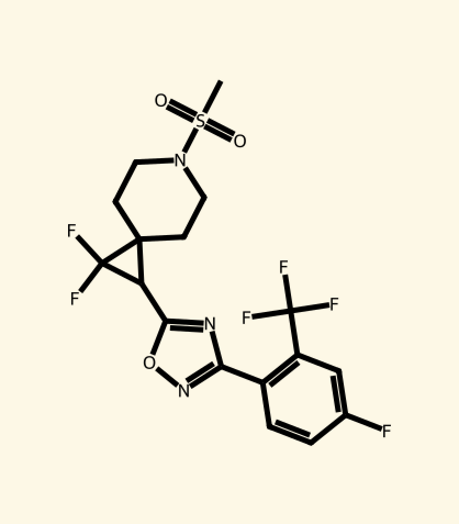 CS(=O)(=O)N1CCC2(CC1)C(c1nc(-c3ccc(F)cc3C(F)(F)F)no1)C2(F)F